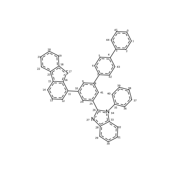 c1ccc(-c2ccc(-c3cc(-c4cccc5c4sc4ccccc45)cc(-c4nc5ccccc5n4-c4ccccc4)c3)cc2)cc1